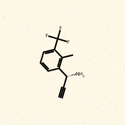 C#C[C@@H](N)c1cccc(C(F)(F)F)c1C